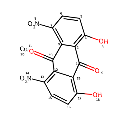 O=C1c2c(O)ccc([N+](=O)[O-])c2C(=O)c2c([N+](=O)[O-])ccc(O)c21.[Cu]